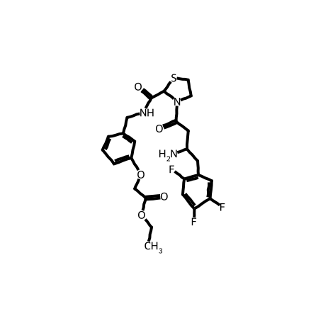 CCOC(=O)COc1cccc(CNC(=O)C2SCCN2C(=O)CC(N)Cc2cc(F)c(F)cc2F)c1